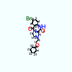 O=C1Nc2ccc(Br)cc2C(=O)N2CCN(CCOc3ccccc3)CC12